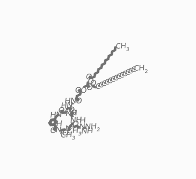 C=C=C=C=C=C=C=C=C=C=C=C=C=C=CC(=O)OC(COC(=O)CCCCCCCCCCCCCCC)COC(=O)CCC(=O)NCNC(=O)C[C@@H]1NC(=O)CNC(=O)[C@H](CCCNC(=N)N)N(C)C(=O)[C@@H](CC)NC(=O)c2cccc(c2)CNC1=O